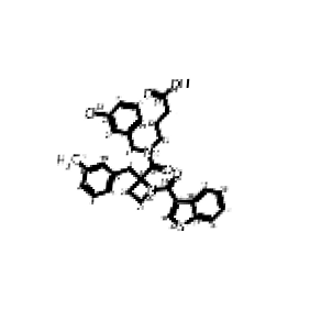 Cc1cccc(CC2(C(=O)N(CCCC(=O)O)Cc3cccc(Cl)c3)CCN2C(=O)c2csc3ccccc23)c1